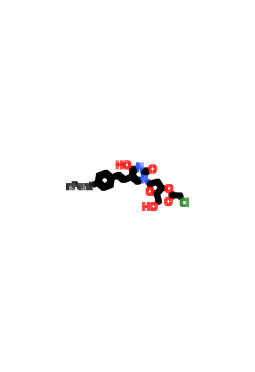 CCCCCc1ccc(/C=C/c2cn(C3CC(OC(=O)CCl)C(CO)O3)c(=O)nc2O)cc1